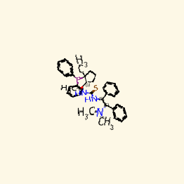 C[C@@H](NC(=S)N[C@@H](c1ccccc1)[C@H](c1ccccc1)N(C)C)[C@@H]1CCCC1(C)P(c1ccccc1)c1ccccc1